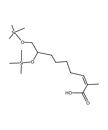 CC(=CCCCCC(CO[Si](C)(C)C)O[Si](C)(C)C)C(=O)O